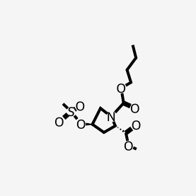 CCCCOC(=O)N1C[C@H](OS(C)(=O)=O)C[C@H]1C(=O)OC